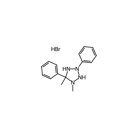 Br.CN1NN(c2ccccc2)NC1(C)c1ccccc1